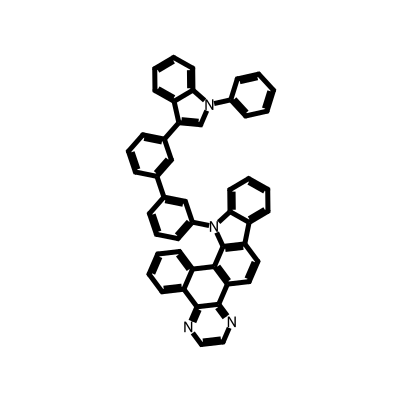 c1ccc(-n2cc(-c3cccc(-c4cccc(-n5c6ccccc6c6ccc7c8nccnc8c8ccccc8c7c65)c4)c3)c3ccccc32)cc1